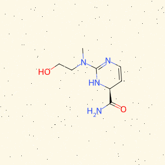 CN(CCO)C1=NC=[C][C@@H](C(N)=O)N1